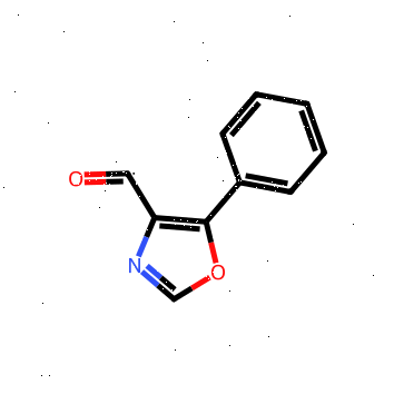 O=[C]c1ncoc1-c1ccccc1